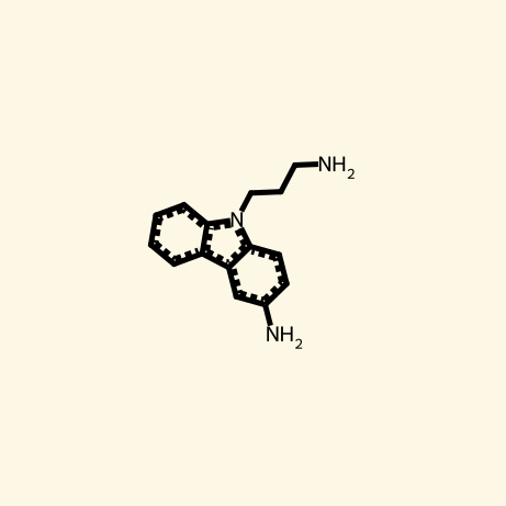 NCCCn1c2ccccc2c2cc(N)ccc21